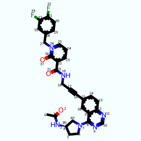 CC(=O)N[C@@H]1CCN(c2ncnc3ccc(C#CCNC(=O)c4cccn(Cc5ccc(F)c(F)c5)c4=O)cc23)C1